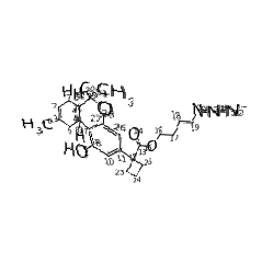 CC1=CC[C@@H]2[C@@H](C1)c1c(O)cc(C3(C(=O)OCCCCN=[N+]=[N-])CCC3)cc1OC2(C)C